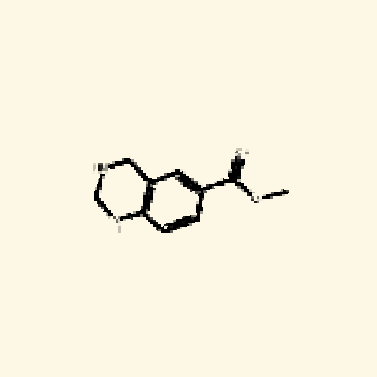 COC(=O)c1ccc2c(c1)CNCN2